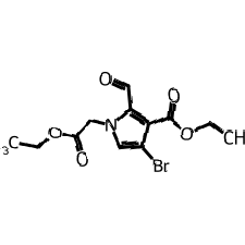 CCOC(=O)Cn1cc(Br)c(C(=O)OCC)c1C=O